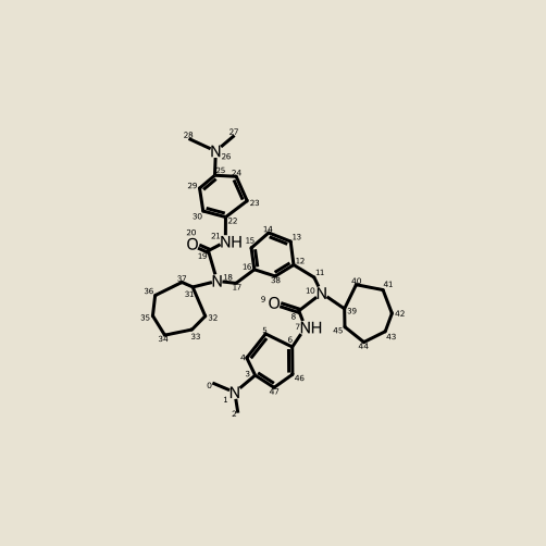 CN(C)c1ccc(NC(=O)N(Cc2cccc(CN(C(=O)Nc3ccc(N(C)C)cc3)C3CCCCCC3)c2)C2CCCCCC2)cc1